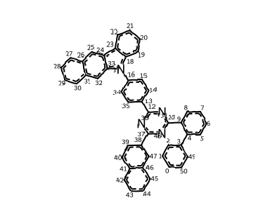 c1ccc(-c2ccccc2-c2nc(-c3ccc(-n4c5ccccc5c5cc6ccccc6cc54)cc3)nc(-c3ccc4ccccc4c3)n2)cc1